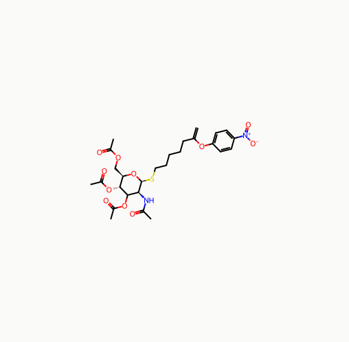 C=C(CCCCCS[C@@H]1O[C@H](COC(C)=O)[C@@H](OC(C)=O)C(OC(C)=O)[C@@H]1NC(C)=O)Oc1ccc([N+](=O)[O-])cc1